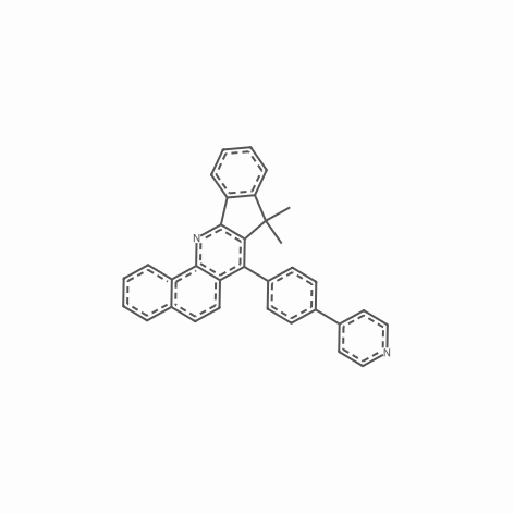 CC1(C)c2ccccc2-c2nc3c(ccc4ccccc43)c(-c3ccc(-c4ccncc4)cc3)c21